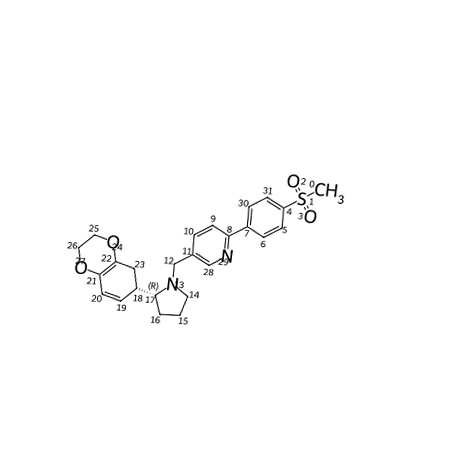 CS(=O)(=O)c1ccc(-c2ccc(CN3CCC[C@@H]3C3C=CC4=C(C3)OCCO4)cn2)cc1